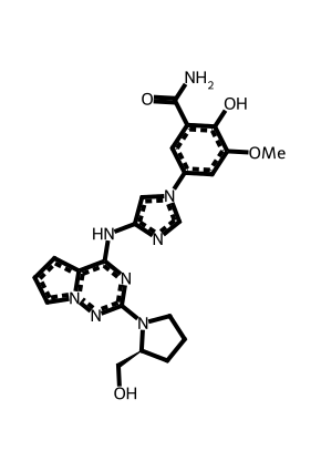 COc1cc(-n2cnc(Nc3nc(N4CCC[C@H]4CO)nn4cccc34)c2)cc(C(N)=O)c1O